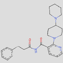 O=C(CCc1ccccc1)NC(=O)c1cccnc1N1CCC(N2CCCCC2)CC1